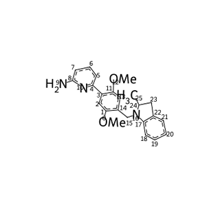 COc1cc(-c2cccc(N)n2)c(OC)cc1CN1c2ccccc2CC1C